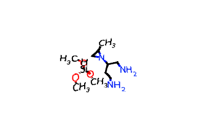 CC1CN1C(CN)CCN.CO[SiH](OC)OC